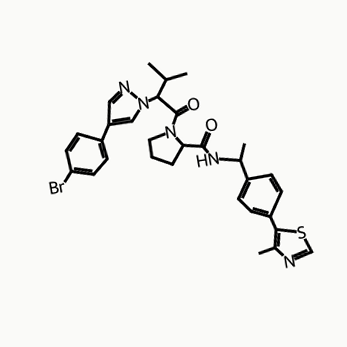 Cc1ncsc1-c1ccc(C(C)NC(=O)C2CCCN2C(=O)C(C(C)C)n2cc(-c3ccc(Br)cc3)cn2)cc1